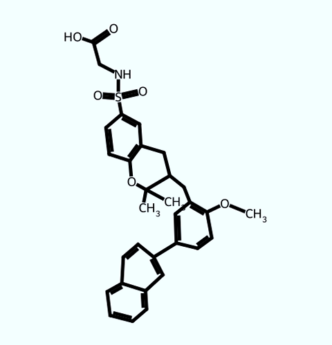 COc1ccc(-c2ccc3ccccc3c2)cc1CC1Cc2cc(S(=O)(=O)NCC(=O)O)ccc2OC1(C)C